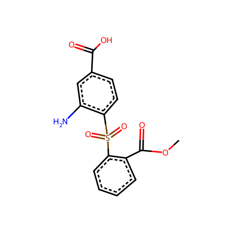 COC(=O)c1ccccc1S(=O)(=O)c1ccc(C(=O)O)cc1N